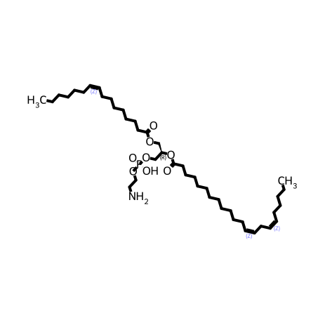 CCCCC/C=C\C/C=C\CCCCCCCCCCCC(=O)O[C@H](COC(=O)CCCCCCC/C=C\CCCCCC)COP(=O)(O)OCCN